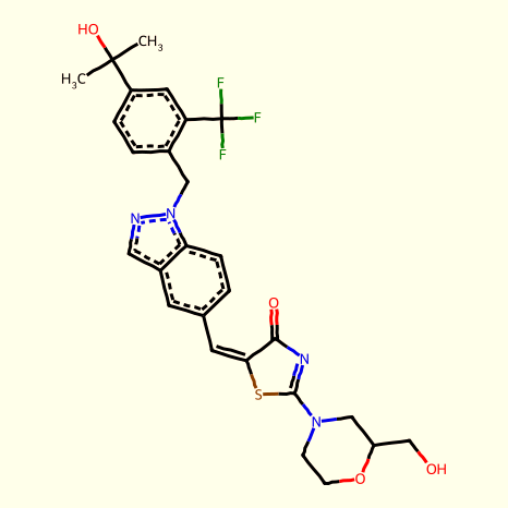 CC(C)(O)c1ccc(Cn2ncc3cc(/C=C4/SC(N5CCOC(CO)C5)=NC4=O)ccc32)c(C(F)(F)F)c1